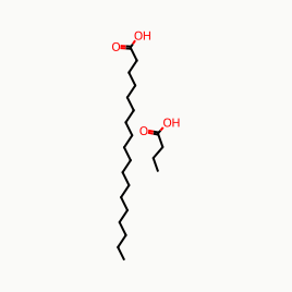 CCCC(=O)O.CCCCCCCCCCCCCCCCCC(=O)O